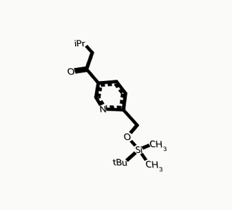 CC(C)CC(=O)c1ccc(CO[Si](C)(C)C(C)(C)C)nc1